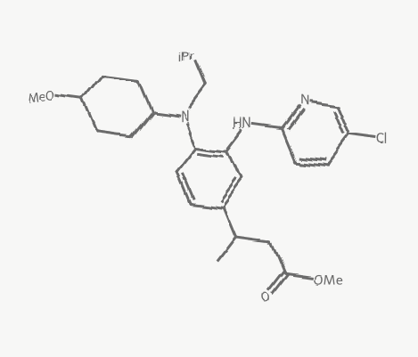 COC(=O)CC(C)c1ccc(N(CC(C)C)C2CCC(OC)CC2)c(Nc2ccc(Cl)cn2)c1